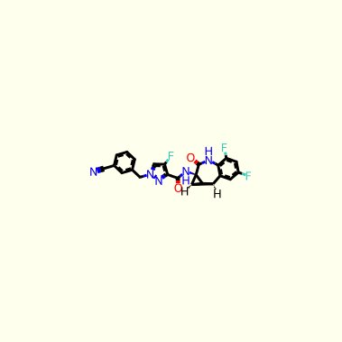 N#Cc1cccc(Cn2cc(F)c(C(=O)N[C@@]34C(=O)Nc5c(F)cc(F)cc5[C@@H]5C3[C@@H]54)n2)c1